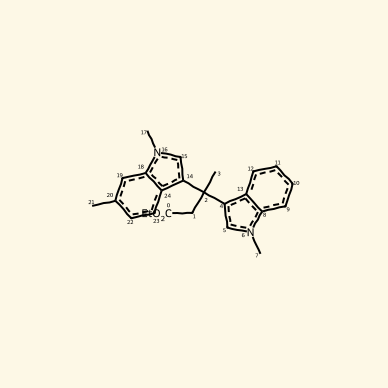 CCOC(=O)CC(C)(c1cn(C)c2ccccc12)c1cn(C)c2cc(C)ccc12